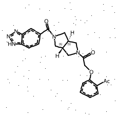 CC(=O)c1ccccc1OCC(=O)N1C[C@@H]2CN(C(=O)c3ccc4[nH]nnc4c3)C[C@H]2C1